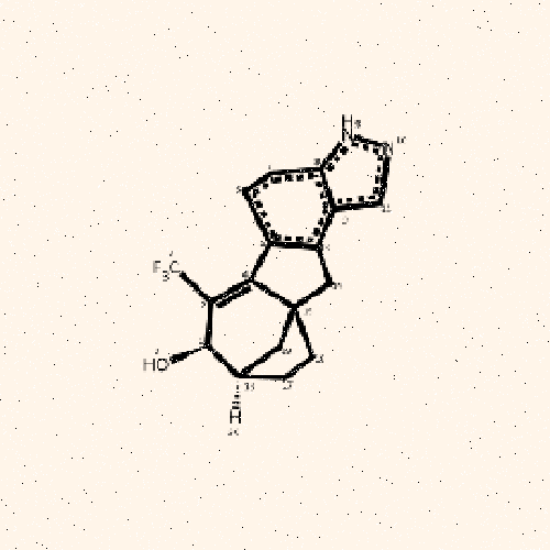 O[C@H]1C(C(F)(F)F)=C2c3ccc4[nH]ncc4c3CC23CC[C@@H]1C3